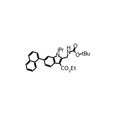 CCOC(=O)c1c(CNC(=O)OC(C)(C)C)n(C(C)C)c2cc(-c3cccc4ccccc34)ccc12